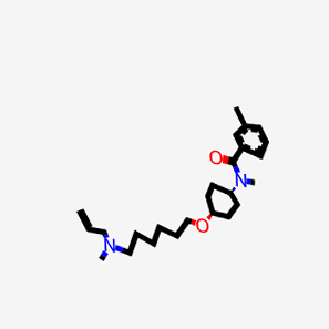 C=CCN(C)CCCCCCO[C@H]1CC[C@H](N(C)C(=O)c2cccc(C)c2)CC1